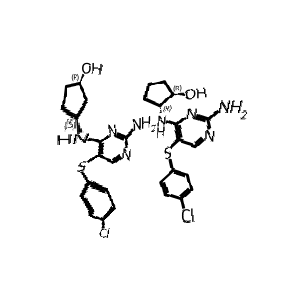 Nc1ncc(Sc2ccc(Cl)cc2)c(N[C@@H]2CCC[C@H]2O)n1.Nc1ncc(Sc2ccc(Cl)cc2)c(N[C@H]2CC[C@@H](O)C2)n1